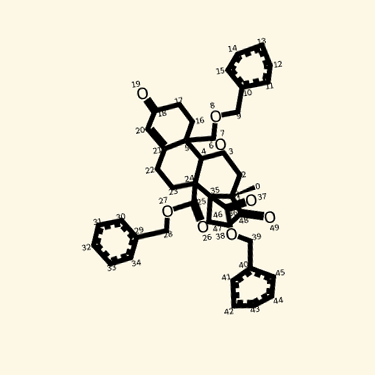 C[C@]12CCC3C4(C(=O)OCc5ccccc5)CCC(=O)C=C4CCC3(C(=O)OCc3ccccc3)C1(C(=O)OCc1ccccc1)CCC2=O